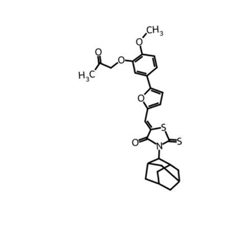 COc1ccc(-c2ccc(/C=C3\SC(=S)N(C4C5CC6CC(C5)CC4C6)C3=O)o2)cc1OCC(C)=O